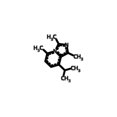 Cc1nc(C)n2c(C)ccc(C(C)C)c12